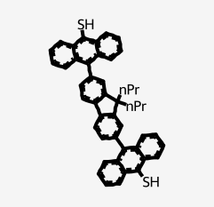 CCCC1(CCC)c2cc(-c3c4ccccc4c(S)c4ccccc34)ccc2-c2ccc(-c3c4ccccc4c(S)c4ccccc34)cc21